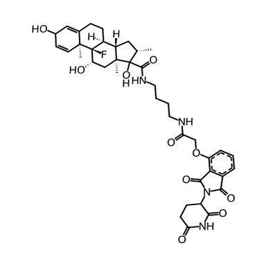 C[C@H]1C[C@H]2[C@@H]3CCC4=CC(O)C=C[C@]4(C)[C@@]3(F)[C@@H](O)C[C@]2(C)C1(O)C(=O)NCCCCNC(=O)COc1cccc2c1C(=O)N(C1CCC(=O)NC1=O)C2=O